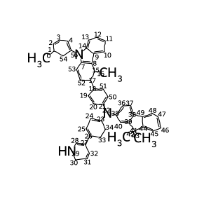 CC1C=CC=C(n2c3c(c4ccccc42)C(C)C(c2ccc(N(C4=CC=C(C5=CNCC=C5)CC4)c4ccc5c(c4)C(C)(C)c4ccccc4-5)cc2)C=C3)C1